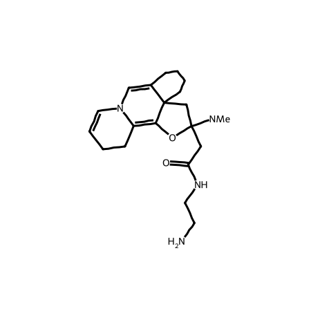 CNC1(CC(=O)NCCN)CC23CCCCC2=CN2C=CCCC2=C3O1